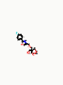 OCC1(COCc2coc(-c3ccc(F)cc3)n2)COCOC1